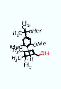 CCCCCCC(C)(C)c1cc(OC)c([C@@]23C=C(CO)[C@@H]2C(C)(C)[C@H]3C)c(OC)c1